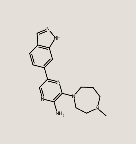 CN1CCCN(c2nc(-c3ccc4cn[nH]c4c3)cnc2N)CC1